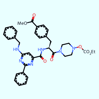 CCOC(=O)ON1CCN(C(=O)[C@H](Cc2ccc(C(=O)OC)cc2)NC(=O)c2cc(NCc3ccccc3)nc(-c3ccccc3)n2)CC1